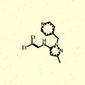 CCC(=CNc1cc(C)nn1Cc1ccncc1)CC